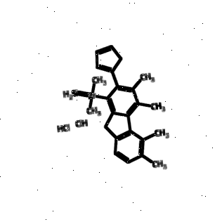 Cc1ccc2c(c1C)-c1c(C)c(C)c(C3=CC=CC3)[c]([Zr]([CH3])([CH3])=[SiH2])c1C2.Cl.Cl